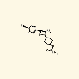 COc1cc(-c2ccc(C#N)c(F)c2)nn1C1CCC(OC(N)=O)CC1